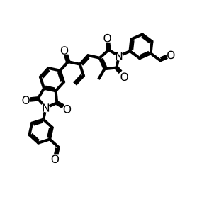 C=C/C(=C\C1=C(C)C(=O)N(c2cccc(C=O)c2)C1=O)C(=O)c1ccc2c(c1)C(=O)N(c1cccc(C=O)c1)C2=O